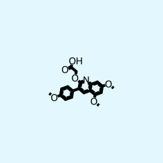 COc1ccc(-c2cc3c(OC)cc(OC)cc3nc2OCC(=O)O)cc1